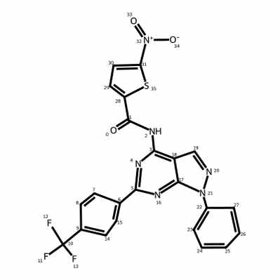 O=C(Nc1nc(-c2ccc(C(F)(F)F)cc2)nc2c1cnn2-c1ccccc1)c1ccc([N+](=O)[O-])s1